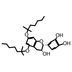 CCCCCC(C)(C)Oc1cc2c(c(OC(C)(C)CCCCC)c1)C[C@@H](O)[C@@H](c1ccc(O)c(O)c1)O2